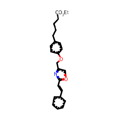 CCOC(=O)CCCCc1ccc(OCc2coc(/C=C/c3ccccc3)n2)cc1